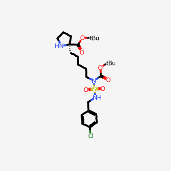 CC(C)(C)OC(=O)N(CCCCC[C@@]1(C(=O)OC(C)(C)C)CCCN1)S(=O)(=O)NCc1ccc(Cl)cc1